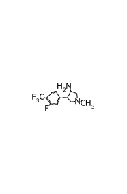 CN1CC(N)C(c2ccc(C(F)(F)F)c(F)c2)C1